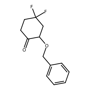 O=C1CCC(F)(F)CC1OCc1ccccc1